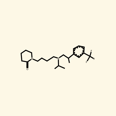 CC(CN(CCCCN1CCCCC1=O)C(C)C)c1cccc(C(F)(F)F)c1